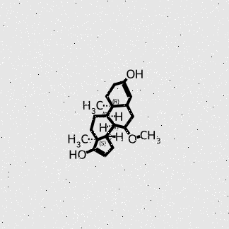 COC1CC2C=C(O)CC[C@]2(C)[C@@H]2CC[C@]3(C)C(O)=CC[C@H]3[C@H]12